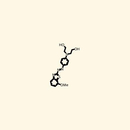 COc1cccc2nc(N=Nc3ccc(N(CCO)CCO)cc3)sc12